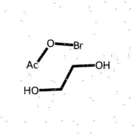 CC(=O)OBr.OCCO